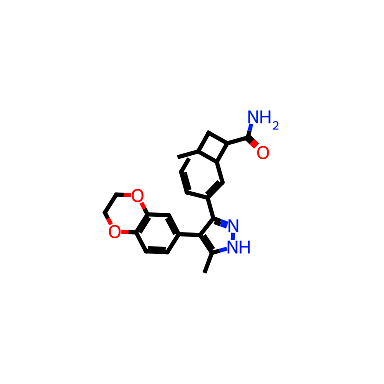 C/C=C\C(=C/C1C(C)CC1C(N)=O)c1n[nH]c(C)c1-c1ccc2c(c1)OCCO2